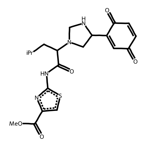 COC(=O)c1csc(NC(=O)C(CC(C)C)N2CNC(C3=CC(=O)C=CC3=O)C2)n1